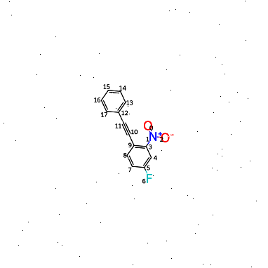 O=[N+]([O-])c1cc(F)ccc1C#Cc1ccccc1